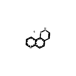 C1=Cc2ccc3ncccc3c2SN1.[S]